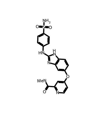 CNC(=O)c1cc(Oc2ccc3[nH]c(Nc4ccc(S(N)(=O)=O)cc4)nc3c2)ccn1